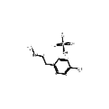 NNCCc1ccc(O)cc1.O=S(=O)(O)O